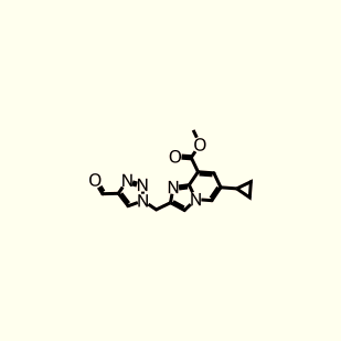 COC(=O)c1cc(C2CC2)cn2cc(Cn3cc(C=O)nn3)nc12